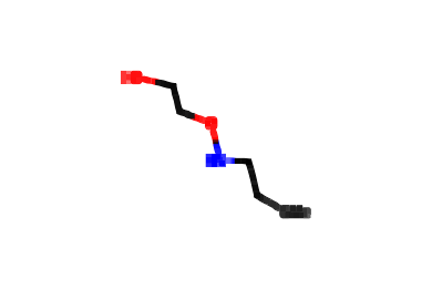 COCCNOCCO